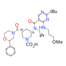 COCCCNc1nc(C(C)(C)C)ncc1C(=O)N(CC(C)C)[C@H]1C[C@@H](C(=O)N2CCOC(c3ccccc3)C2)CN(C(=O)O)C1